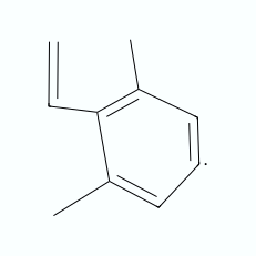 C=Cc1c(C)c[c]cc1C